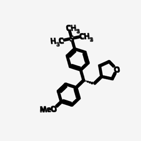 COc1ccc([C@@H](CC2CCOC2)c2ccc(S(C)(C)C)cc2)cc1